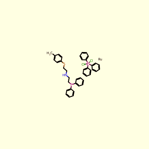 Cc1ccc(SCCNCCP(c2ccccc2)c2ccccc2)cc1.ClP(Cl)(c1ccccc1)(c1ccccc1)c1ccccc1.[Ru]